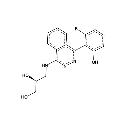 OC[C@@H](O)CNc1nnc(-c2c(O)cccc2F)c2ccccc12